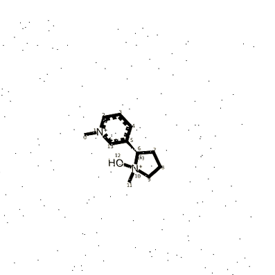 C[n+]1cccc([C@H]2CCC[N+]2(C)O)c1